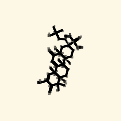 CCC(C)(C)CC[C@]1(P(=O)(OC)OC)CC[C@]2(C)[C@@H](C1)C(=O)C=C1[C@@]3(C)C=C(C#N)C(=O)C(C)(C)[C@@H]3CC[C@]12C